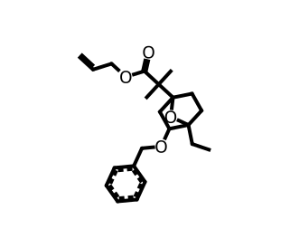 C=CCOC(=O)C(C)(C)C12CCC(CC)(O1)C(OCc1ccccc1)C2